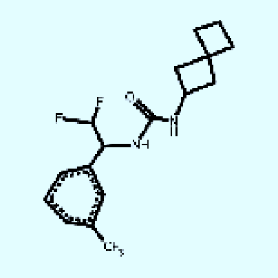 O=C(NC1CC2(CCC2)C1)NC(c1cccc(C(F)(F)F)c1)C(F)F